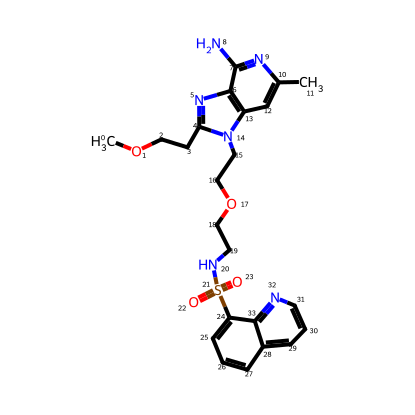 COCCc1nc2c(N)nc(C)cc2n1CCOCCNS(=O)(=O)c1cccc2cccnc12